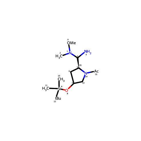 CON(C)C(N)[C@@H]1CC(O[Si](C)(C)C(C)(C)C)CN1C(C)=O